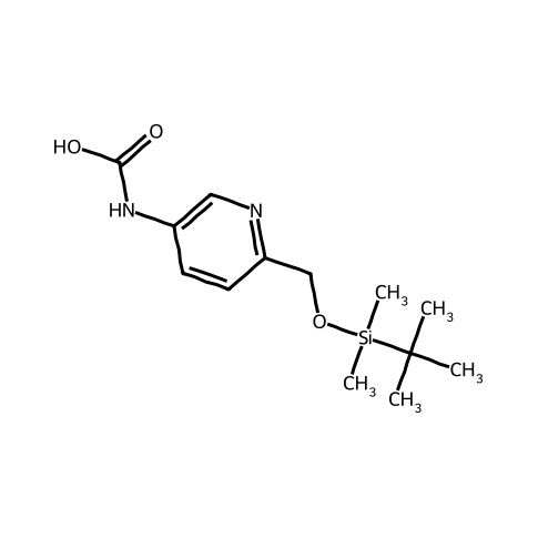 CC(C)(C)[Si](C)(C)OCc1ccc(NC(=O)O)cn1